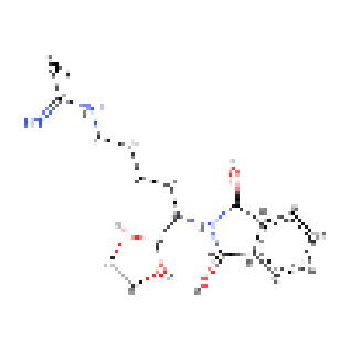 CC(=N)NCCCCC(C1OCCO1)N1C(=O)c2ccccc2C1=O